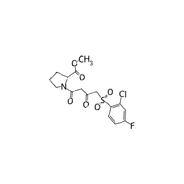 COC(=O)C1CCCN1C(=O)CC(=O)CS(=O)(=O)c1ccc(F)cc1Cl